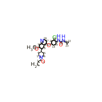 C=CC(=O)N1CCC(c2cc3c(Oc4ccc(NC(=O)NC5CC5)c(Cl)c4)ccnc3cc2OC)CC1